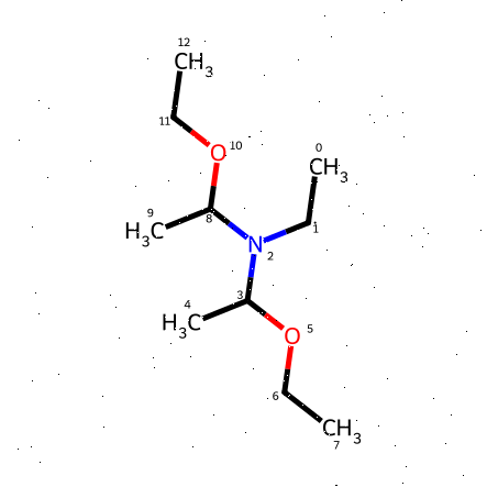 C[CH]N(C(C)OCC)C(C)OCC